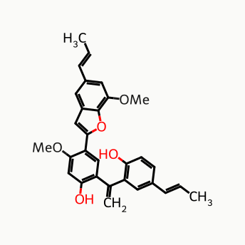 C=C(c1cc(/C=C/C)ccc1O)c1cc(-c2cc3cc(/C=C/C)cc(OC)c3o2)c(OC)cc1O